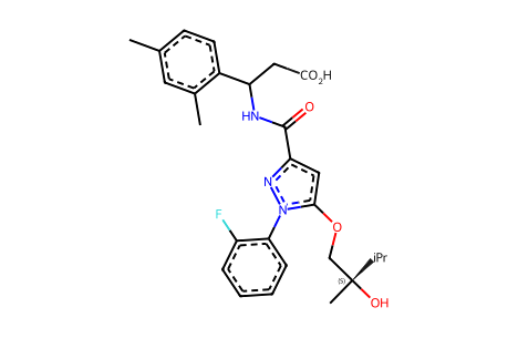 Cc1ccc(C(CC(=O)O)NC(=O)c2cc(OC[C@@](C)(O)C(C)C)n(-c3ccccc3F)n2)c(C)c1